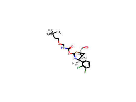 C[C@]1(c2cccc(F)c2F)N=C(OC(=O)NCOCC[Si](C)(C)C)S[C@@]2(CO)C[C@H]21